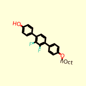 CCCCCCCCOc1ccc(-c2ccc(-c3ccc(O)cc3)c(F)c2F)cc1